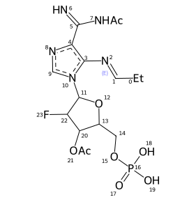 CC/C=N/c1c(C(=N)NC(C)=O)ncn1C1OC(COP(=O)(O)O)C(OC(C)=O)C1F